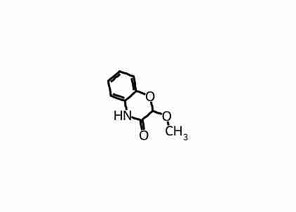 COC1Oc2ccccc2NC1=O